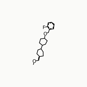 COC=C1CCC(C2CCC(OCc3ccccc3F)CC2)CC1